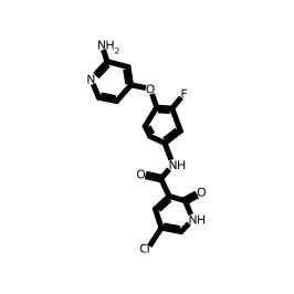 Nc1cc(Oc2ccc(NC(=O)c3cc(Cl)c[nH]c3=O)cc2F)ccn1